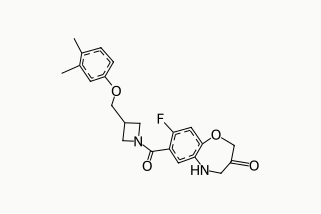 Cc1ccc(OCC2CN(C(=O)c3cc4c(cc3F)OCC(=O)CN4)C2)cc1C